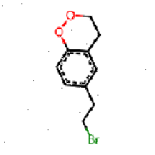 BrCCc1ccc2c(c1)CCOO2